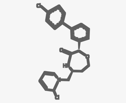 O=C1N[C@H](CN2C=CC=CC2Cl)CCO[C@H]1c1cccc(-c2ccc(Cl)cc2)c1